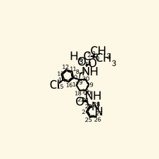 CC(C)(C)OC(=O)NC[C@]1(c2cccc(Cl)c2)CC[C@@H](NC(=O)c2cccnn2)CC1